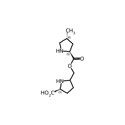 C[C@H]1CN[C@H](C(=O)OCC2CC[C@@H](C(=O)O)N2)C1